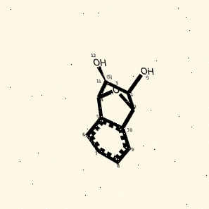 OC1C2OC(c3ccccc32)[C@H]1O